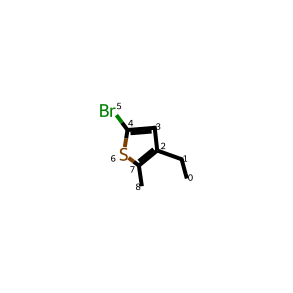 CCc1cc(Br)sc1C